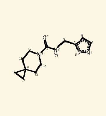 O=C(NCc1ccns1)N1CCC2(CC1)CC2